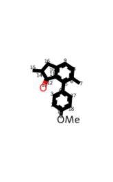 COc1ccc(-c2c(C)ccc3c2C(=O)C(C)C3)cc1